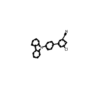 N#Cc1cc(Cl)cc(-c2ccc(-n3c4ccccc4c4ccccc43)cc2)c1